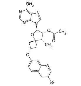 CC(=O)O[C@H]1[C@H](n2cnc3c(N)ncnc32)O[C@]2(C[C@@H](Oc3ccc4cc(Br)cnc4c3)C2)[C@H]1C